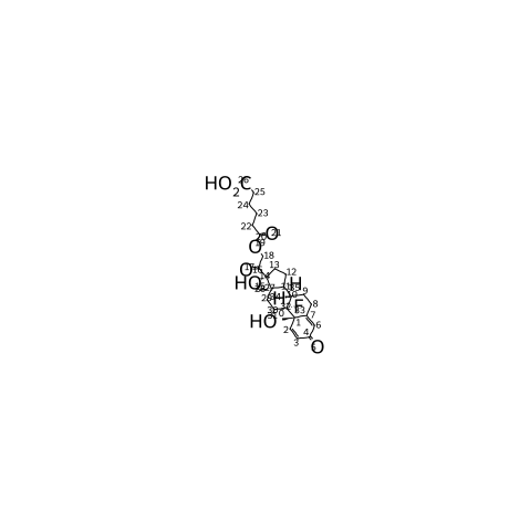 C[C@]12C=CC(=O)C=C1CC[C@H]1[C@@H]3CC[C@](O)(C(=O)COC(=O)CCCCC(=O)O)[C@@]3(C)C[C@H](O)[C@@]12F